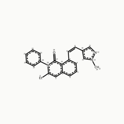 CCc1cc2cccc(/C=C\c3cnn(C)c3)c2c(=O)n1-c1ccccc1